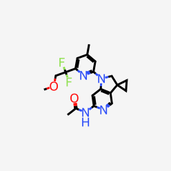 COCC(F)(F)c1cc(C)cc(N2CC3(CC3)c3cnc(NC(C)=O)cc32)n1